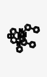 C1=CC2C(c3ccccc3N2c2ccccc2)c2c1oc1cccc(-c3nc(-c4cccc(-c5ccccc5)c4)nc(-c4cccc(-c5ccccc5)c4)n3)c21